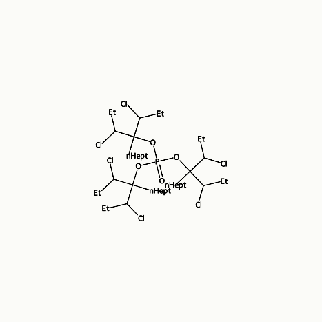 CCCCCCCC(OP(=O)(OC(CCCCCCC)(C(Cl)CC)C(Cl)CC)OC(CCCCCCC)(C(Cl)CC)C(Cl)CC)(C(Cl)CC)C(Cl)CC